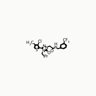 Cc1csc(-c2nn(CC(=O)NCc3cccc(C(F)(F)F)c3)c(=O)n2CC(C)C)c1Cl